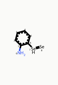 Nc1ccccc1[SeH]=[Se]